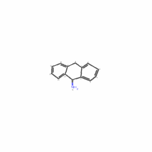 NC1c2ccccc2Cc2ccccc21